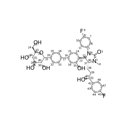 CN1C(=O)N(c2ccc(F)cc2)[C@H](c2ccc(-c3ccc(C4O[C@H](CO)[C@@H](O)[C@H](O)[C@H]4O)cc3)cc2O)[C@H]1CC[C@H](O)c1ccc(F)cc1